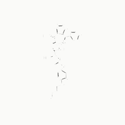 CCCCOc1ccc(NC(=O)N[C@@H](C)C(=O)N[C@H]2N=C(c3ccccc3)c3ccccc3N(C)C2=O)cc1